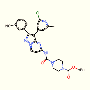 Cc1cc(-c2c(-c3cccc(C#N)c3)nn3ccc(NC(=O)N4CCN(C(=O)OC(C)(C)C)CC4)nc23)cc(Cl)n1